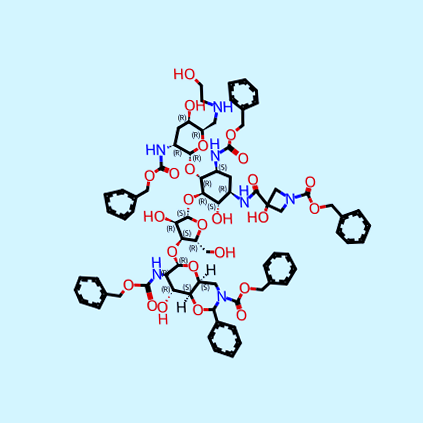 O=C(N[C@H]1[C@@H](O[C@H]2[C@@H](O)[C@H](O[C@@H]3[C@@H](O)[C@H](NC(=O)C4(O)CN(C(=O)OCc5ccccc5)C4)C[C@H](NC(=O)OCc4ccccc4)[C@H]3O[C@H]3O[C@H](CNCCO)[C@H](O)C[C@H]3NC(=O)OCc3ccccc3)O[C@@H]2CO)O[C@H]2CN(C(=O)OCc3ccccc3)C(c3ccccc3)O[C@H]2[C@@H]1O)OCc1ccccc1